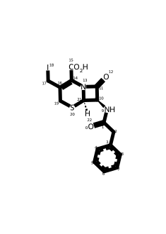 O=C(Cc1ccccc1)N[C@@H]1C(=O)N2C(C(=O)O)=C(CI)CS[C@H]12